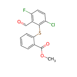 COC(=O)c1ccccc1Sc1c(Cl)ccc(F)c1C=O